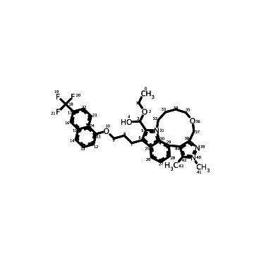 CCOC(O)c1c(CCCOc2cccc3cc(C(F)(F)F)ccc23)c2cccc3c2n1CCCCOCc1nn(C)c(C)c1-3